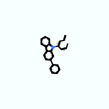 C=C/C=C(\C=C/C)n1c2ccccc2c2ccc(-c3ccccc3)cc21